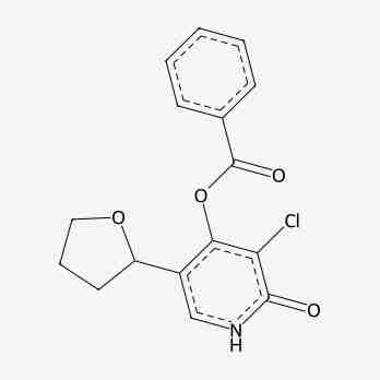 O=C(Oc1c(C2CCCO2)c[nH]c(=O)c1Cl)c1ccccc1